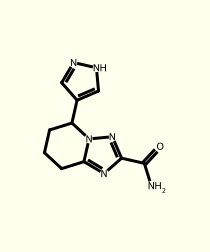 NC(=O)c1nc2n(n1)C(c1cn[nH]c1)CCC2